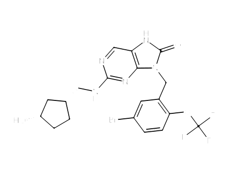 O=c1[nH]c2cnc(NC[C@@H]3CC[C@H](O)C3)nc2n1Cc1cc(Br)ccc1OC(F)(F)F